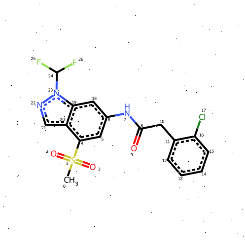 CS(=O)(=O)c1cc(NC(=O)Cc2ccccc2Cl)cc2c1cnn2C(F)F